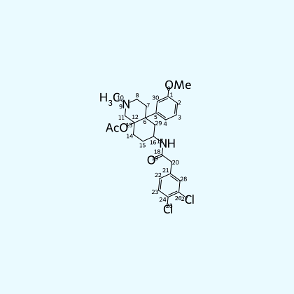 COc1cccc(C23CCN(C)CC2(OC(C)=O)CCC(NC(=O)Cc2ccc(Cl)c(Cl)c2)C3)c1